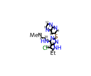 CCc1[nH]c2nc(Sc3cnc4nccnc4c3)nc(NCCNC)c2c1Cl